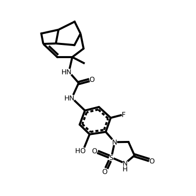 CC1(NC(=O)Nc2cc(O)c(N3CC(=O)NS3(=O)=O)c(F)c2)C=C2CC3CC(CC23)C1